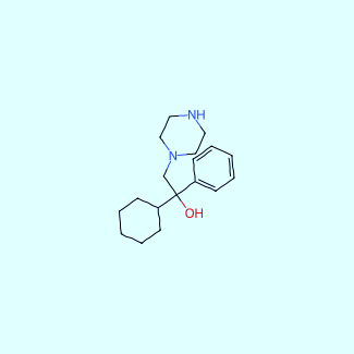 OC(CN1CCNCC1)(c1ccccc1)C1CCCCC1